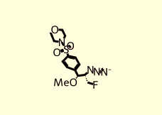 CO[C@H](c1ccc(S(=O)(=O)N2CCOCC2)cc1)[C@@H](CF)N=[N+]=[N-]